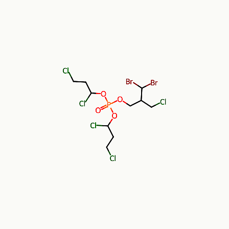 O=P(OCC(CCl)C(Br)Br)(OC(Cl)CCCl)OC(Cl)CCCl